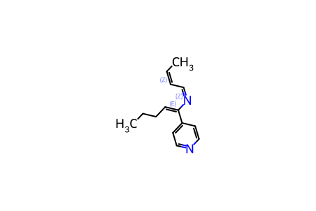 C\C=C/C=N\C(=C\CCC)c1ccncc1